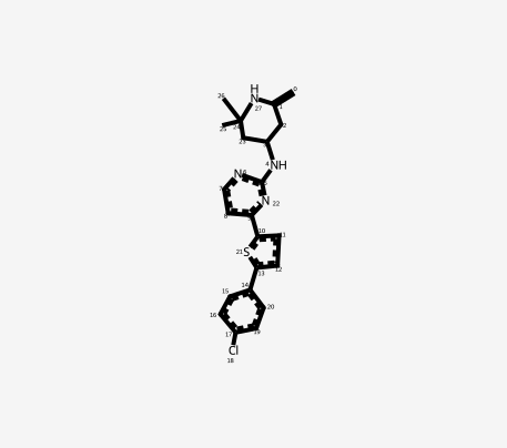 C=C1CC(Nc2nccc(-c3ccc(-c4ccc(Cl)cc4)s3)n2)CC(C)(C)N1